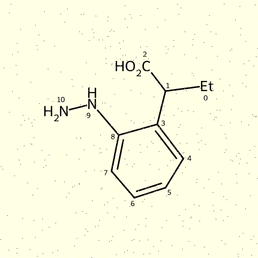 CCC(C(=O)O)c1ccccc1NN